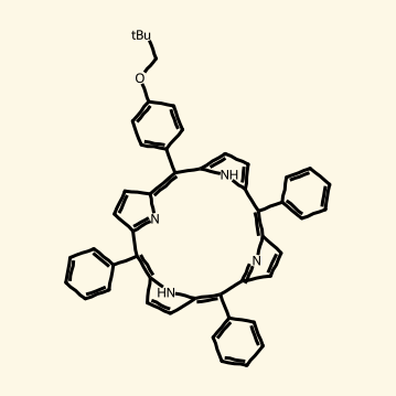 CC(C)(C)COc1ccc(-c2c3nc(c(-c4ccccc4)c4ccc([nH]4)c(-c4ccccc4)c4nc(c(-c5ccccc5)c5ccc2[nH]5)C=C4)C=C3)cc1